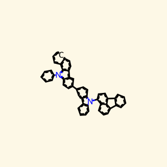 c1ccc(-n2c3ccc(-c4ccc5c(c4)c4ccccc4n5-c4ccc5c6c(cccc46)-c4ccccc4-5)cc3c3ccc4ccccc4c32)cc1